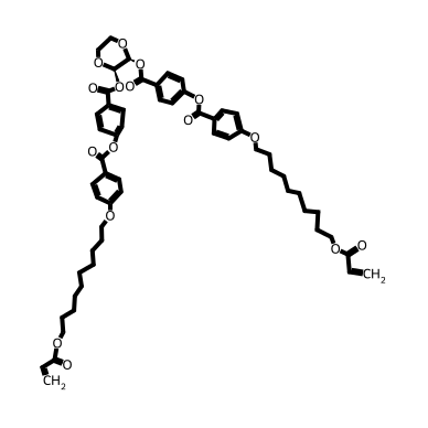 C=CC(=O)OCCCCCCCCCCOc1ccc(C(=O)Oc2ccc(C(=O)O[C@H]3OCCO[C@@H]3OC(=O)c3ccc(OC(=O)c4ccc(OCCCCCCCCCCOC(=O)C=C)cc4)cc3)cc2)cc1